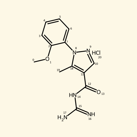 COc1ccccc1-n1ncc(C(=O)NC(=N)N)c1C.Cl